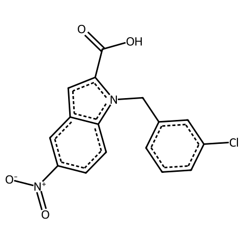 O=C(O)c1cc2cc([N+](=O)[O-])ccc2n1Cc1cccc(Cl)c1